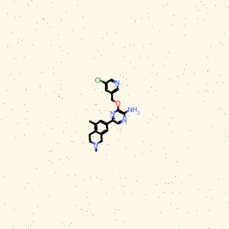 Cc1cc(-c2cnc(N)c(OCc3cncc(Cl)c3)n2)cc2c1CCN(C)C2